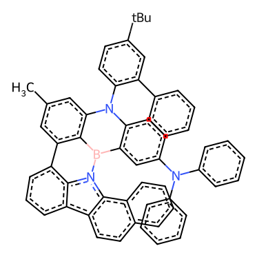 Cc1cc2c3c(c1)N(c1ccc(C(C)(C)C)cc1-c1ccccc1)c1ccc(N(c4ccccc4)c4ccccc4)cc1B3n1c3c-2cccc3c2ccc3ccccc3c21